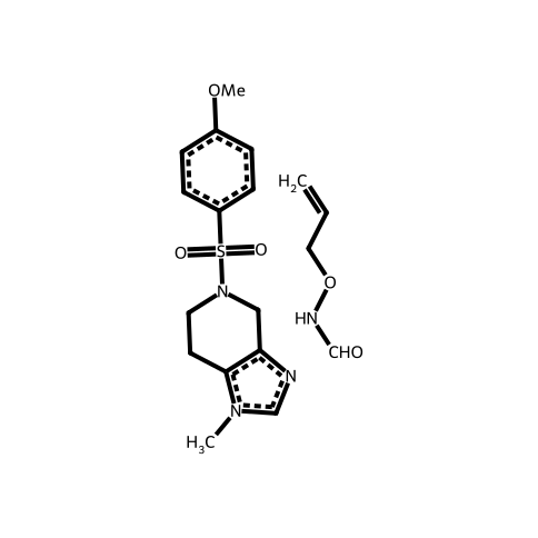 C=CCONC=O.COc1ccc(S(=O)(=O)N2CCc3c(ncn3C)C2)cc1